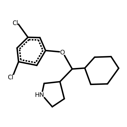 Clc1cc(Cl)cc(OC(C2CCCCC2)C2CCNC2)c1